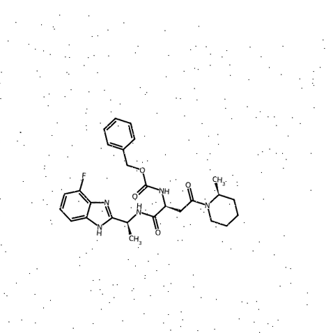 C[C@H](NC(=O)[C@H](CC(=O)N1CCCC[C@@H]1C)NC(=O)OCc1ccccc1)c1nc2c(F)cccc2[nH]1